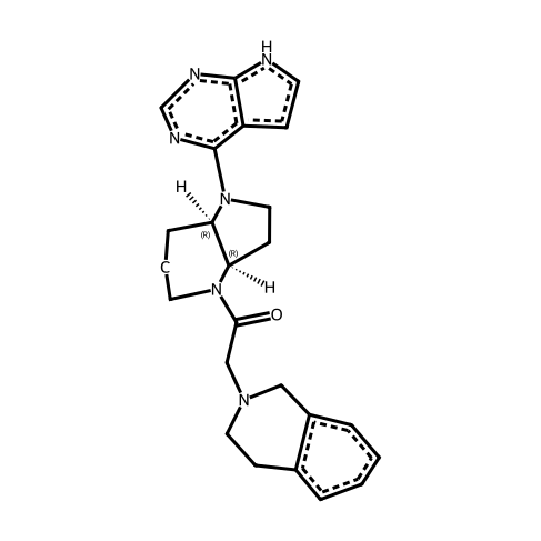 O=C(CN1CCc2ccccc2C1)N1CCC[C@@H]2[C@H]1CCN2c1ncnc2[nH]ccc12